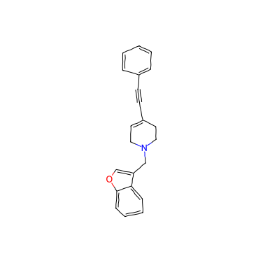 C(#Cc1ccccc1)C1=CCN(Cc2coc3ccccc23)CC1